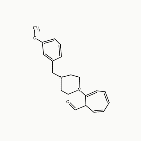 COc1cccc(CN2CCN(C3=CC=CC=CC3C=O)CC2)c1